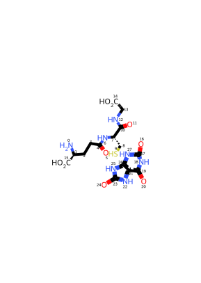 N[C@@H](CCC(=O)N[C@@H](CS)C(=O)NCC(=O)O)C(=O)O.O=c1[nH]c(=O)c2[nH]c(=O)[nH]c2[nH]1